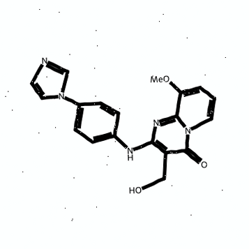 COc1cccn2c(=O)c(CO)c(Nc3ccc(-n4ccnc4)cc3)nc12